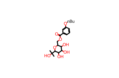 CCCCOc1cccc(C(=O)OCC2OC(C(C)(C)O)C(O)C(O)C2O)c1